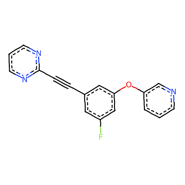 Fc1cc(C#Cc2ncccn2)cc(Oc2cccnc2)c1